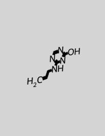 C=CCNc1ncnc(O)n1